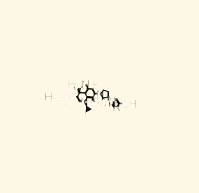 COc1c(N2CCC(n3cc(C)nn3)C2)c(F)c(N)c2c(=O)c(C(=O)O)cn(C3CC3)c12